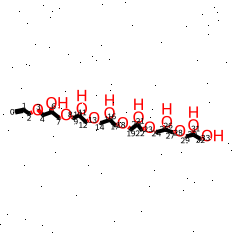 C=CCOCC(O)COCC(O)COCC(O)COCC(O)COCC(O)COCC(O)CO